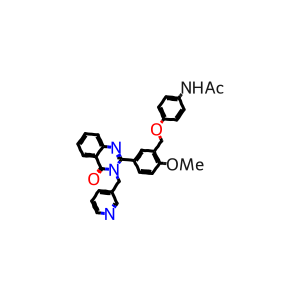 COc1ccc(-c2nc3ccccc3c(=O)n2Cc2cccnc2)cc1COc1ccc(NC(C)=O)cc1